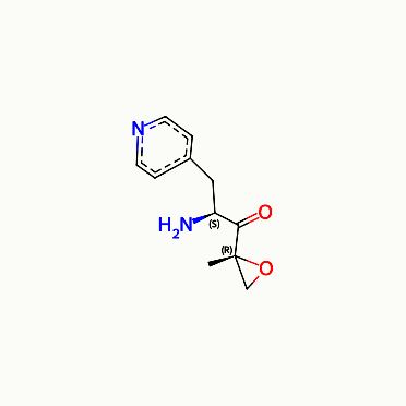 C[C@]1(C(=O)[C@@H](N)Cc2ccncc2)CO1